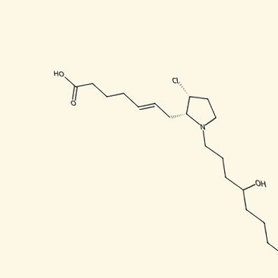 CCCCCC(O)CCCN1CC[C@@H](Cl)[C@H]1CC=CCCCC(=O)O